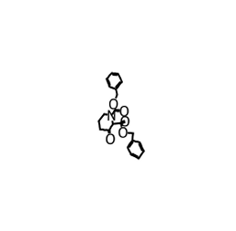 O=C1CCCN(C(=O)OCc2ccccc2)C1C(=O)OCc1ccccc1